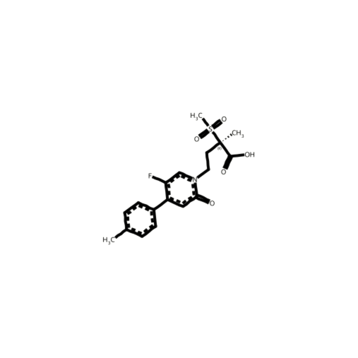 Cc1ccc(-c2cc(=O)n(CC[C@](C)(C(=O)O)S(C)(=O)=O)cc2F)cc1